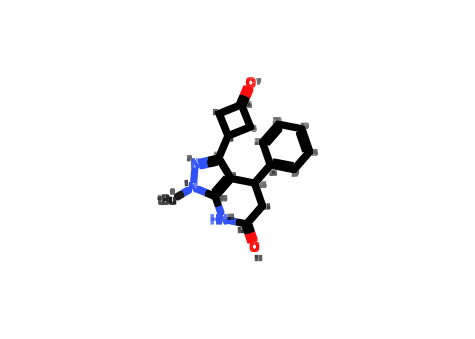 CC(C)(C)n1nc(C2CC(=O)C2)c2c1NC(=O)CC2c1ccccc1